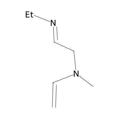 C=CN(C)CC=NCC